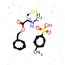 CN[C@@H](CS)C(=O)OCc1ccccc1.Cc1ccc(S(=O)(=O)O)cc1